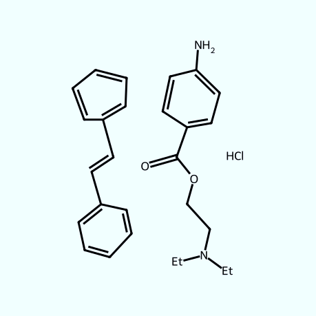 C(=Cc1ccccc1)c1ccccc1.CCN(CC)CCOC(=O)c1ccc(N)cc1.Cl